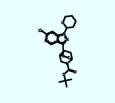 CC(C)(C)OC(=O)N1CC2CCC1CN2c1nn(C2CCCCO2)c2cc(Cl)ncc12